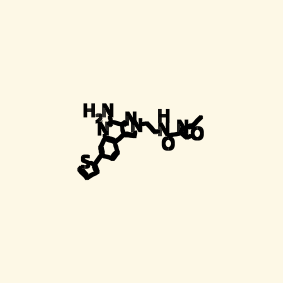 Cc1nc(C(=O)NCCn2cc3c(n2)c(N)nc2cc(-c4cccs4)ccc23)co1